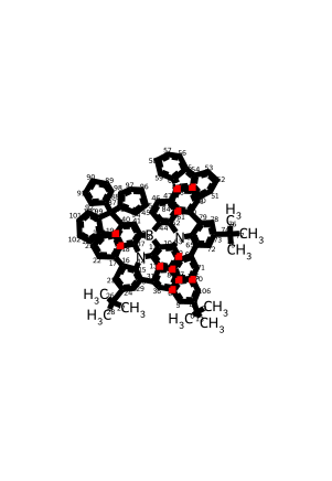 CC(C)(C)c1ccc(-c2cc3c4c(c2)N(c2c(-c5ccccc5)cc(C(C)(C)C)cc2-c2ccccc2)c2cc5c(cc2B4c2ccc(-n4c6ccccc6c6ccccc64)cc2N3c2c(-c3ccccc3)cc(C(C)(C)C)cc2-c2ccccc2)C(c2ccccc2)(c2ccccc2)c2ccccc2-5)cc1